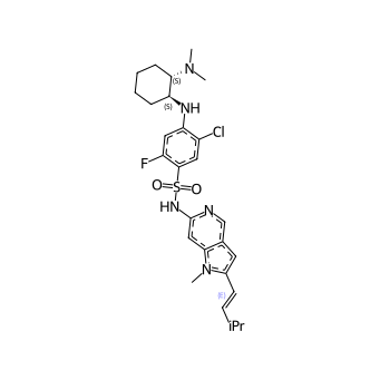 CC(C)/C=C/c1cc2cnc(NS(=O)(=O)c3cc(Cl)c(N[C@H]4CCCC[C@@H]4N(C)C)cc3F)cc2n1C